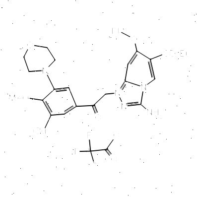 CCOC(=O)c1cn2c(N)n[n+](CC(=O)c3cc(N4CCOCC4)c(OC)c(C(C)(C)C)c3)c2cc1OCC.O=C([O-])C(F)(F)F